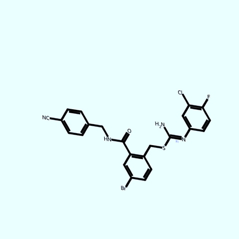 N#Cc1ccc(CNC(=O)c2cc(Br)ccc2CS/C(N)=N/c2ccc(F)c(Cl)c2)cc1